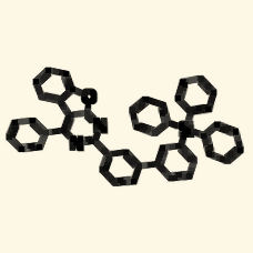 c1ccc(-c2nc(-c3cccc(-c4cccc([Si](c5ccccc5)(c5ccccc5)c5ccccc5)c4)c3)nc3oc4ccccc4c23)cc1